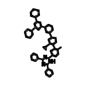 Cc1ccc(C2N=C(c3ccccc3)N=C(c3ccccc3)N2)cc1-c1ccc(-c2cccc(-c3cc(-c4ccccc4)cc(-c4ccccc4)c3)c2)cc1C1CC1